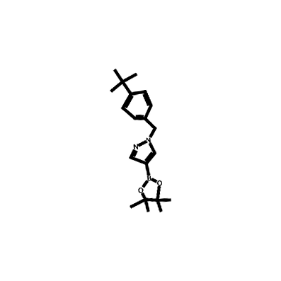 CC(C)(C)c1ccc(Cn2cc(B3OC(C)(C)C(C)(C)O3)cn2)cc1